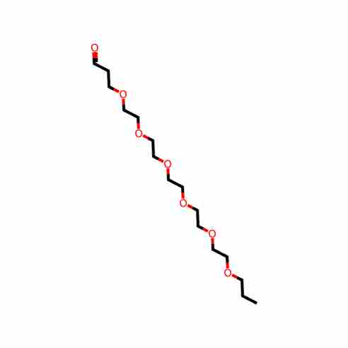 CCCOCCOCCOCCOCCOCCOCCC=O